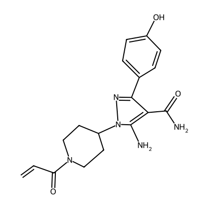 C=CC(=O)N1CCC(n2nc(-c3ccc(O)cc3)c(C(N)=O)c2N)CC1